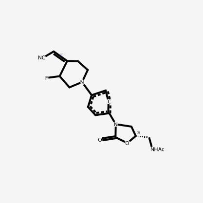 CC(=O)NC[C@H]1CN(c2ccc(N3CC/C(=C/C#N)C(F)C3)cc2)C(=O)O1